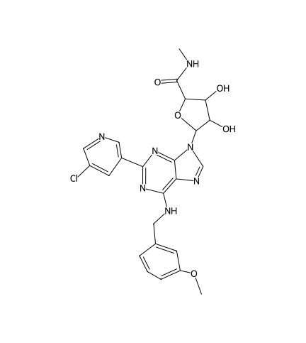 CNC(=O)C1OC(n2cnc3c(NCc4cccc(OC)c4)nc(-c4cncc(Cl)c4)nc32)C(O)C1O